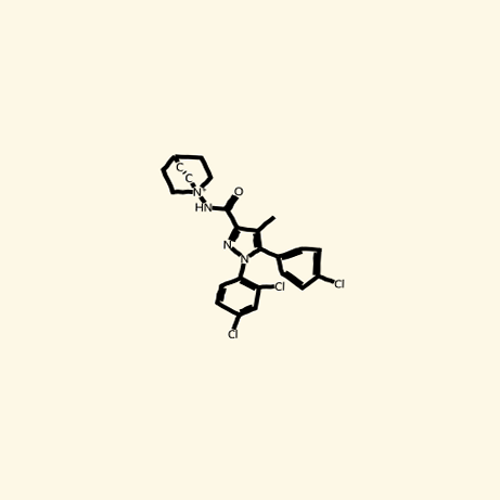 Cc1c(C(=O)N[N+]23CCC(CC2)CC3)nn(-c2ccc(Cl)cc2Cl)c1-c1ccc(Cl)cc1